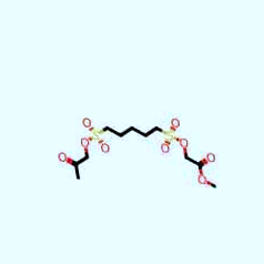 COC(=O)COS(=O)(=O)CCCCCS(=O)(=O)OCC(C)=O